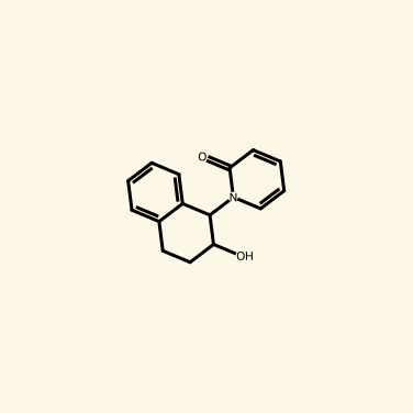 O=c1ccccn1C1c2ccccc2CCC1O